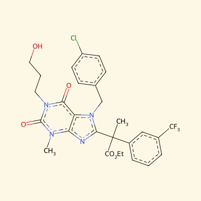 CCOC(=O)C(C)(c1cccc(C(F)(F)F)c1)c1nc2c(c(=O)n(CCCO)c(=O)n2C)n1Cc1ccc(Cl)cc1